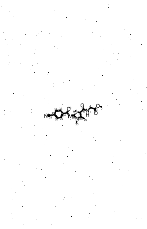 COC(=O)CNC(=O)C1SC(=NC(=O)c2ccc(C#N)cc2)N(C)C1C